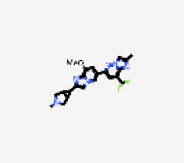 COc1cc(-c2cc(C(F)F)c3nc(C)cn3n2)cn2cc(C3C4CN(C)CC43)nc12